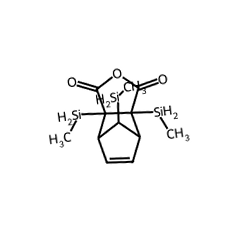 C[SiH2]C1C2C=CC1C1([SiH2]C)C(=O)OC(=O)C21[SiH2]C